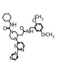 COc1ccc(OC)c(CNC(=O)CC2CN(C(=O)NC3CCCCC3)CCN2c2ccnc(-n3ccnc3)n2)c1